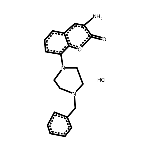 Cl.Nc1cc2cccc(N3CCN(Cc4ccccc4)CC3)c2oc1=O